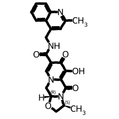 Cc1cc(CNC(=O)c2cn3c(c(O)c2=O)C(=O)N2[C@@H](C)CO[C@@H]2C3)c2ccccc2n1